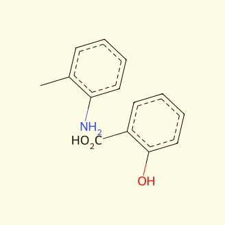 Cc1ccccc1N.O=C(O)c1ccccc1O